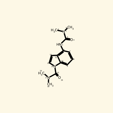 CN(C)C(=O)Nc1cccc2c1ccn2C(=O)N(C)C